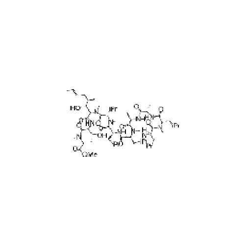 C/C=C/C[C@@H](C)[C@@H](O)[C@@H](C(=O)N[C@H](C(=O)N(C)CC(=O)OC)[C@@H](C)O)N(C)C(=O)[C@H](C(C)C)N(C)C(=O)[C@H](CC(C)C)NC(=O)[C@H](CC(C)C)N(C)C(=O)[C@@H](C)NC(=O)[C@H](C)NC(=O)[C@H](CC(C)C)N(C)C(=O)[C@@H](N)CC(C)C